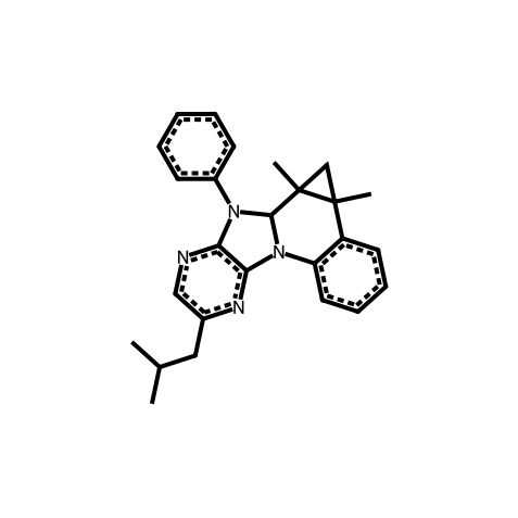 CC(C)Cc1cnc2c(n1)N1c3ccccc3C3(C)CC3(C)C1N2c1ccccc1